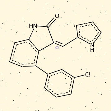 O=C1Nc2cccc(-c3cccc(Cl)c3)c2/C1=C/c1ccc[nH]1